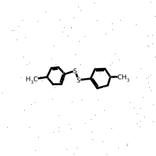 CC1C=CC(SSC2=CCC(C)C=C2)=CC1